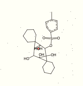 Cc1ccc(S(=O)(=O)OC2C3(O)C4(CCCCC4)C3(O)C(O)C3(O)C4(CCCCC4)C23O)cc1